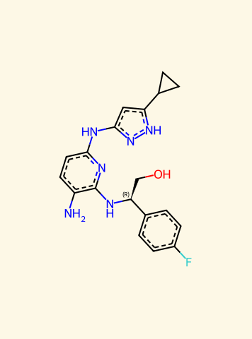 Nc1ccc(Nc2cc(C3CC3)[nH]n2)nc1N[C@@H](CO)c1ccc(F)cc1